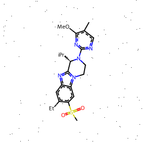 CCc1cc2nc3n(c2cc1S(C)(=O)=O)CCN(c1ncc(C)c(OC)n1)[C@@H]3C(C)C